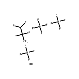 FC(F)C(F)(F)C(F)(F)F.F[B-](F)(F)F.F[B-](F)(F)F.F[B-](F)(F)F.[KH]